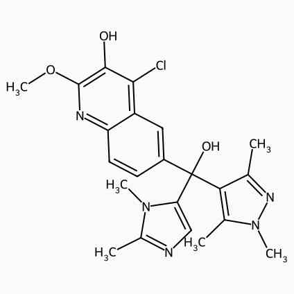 COc1nc2ccc(C(O)(c3c(C)nn(C)c3C)c3cnc(C)n3C)cc2c(Cl)c1O